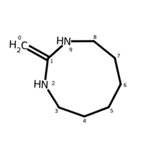 C=C1NCCCCCCN1